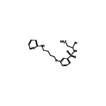 CC(C)C(CC(=O)O)NS(=O)(=O)c1cccc(OCCCCNc2ccccn2)c1